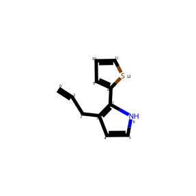 C=CCc1cc[nH]c1-c1cccs1